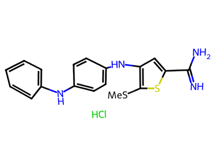 CSc1sc(C(=N)N)cc1Nc1ccc(Nc2ccccc2)cc1.Cl